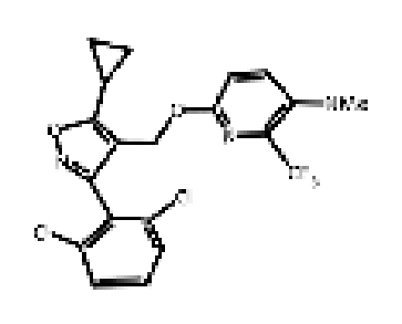 CNc1ccc(OCc2c(-c3c(Cl)cccc3Cl)noc2C2CC2)nc1C(F)(F)F